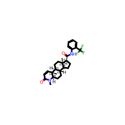 CN1C(=O)C=C[C@]2(C)[C@H]3CC[C@]4(C)[C@@H](C(=O)Nc5ccccc5C(F)(F)F)CC[C@H]4[C@@H]3CC[C@@H]12